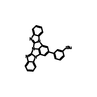 CC(C)(C)c1cccc(-c2cc3c4c(c2)n2c5ccccc5nc2n4c2nc4ccccc4n32)c1